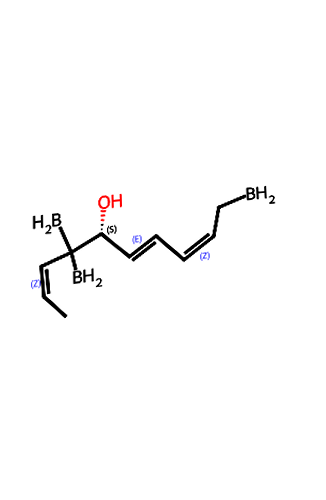 BC/C=C\C=C\[C@@H](O)C(B)(B)/C=C\C